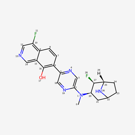 CN(c1cnc(-c2ccc3c(F)cncc3c2O)cn1)[C@@H]1CC2CC[C@H](N2)[C@@H]1F